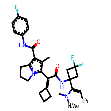 CCC/C=C(\N(C)NC)C1(NC(=O)C(=C2CCC2)c2c(C)c(C(=O)Nc3ccc(F)cc3)c3n2CCC3)CC(F)(F)C1